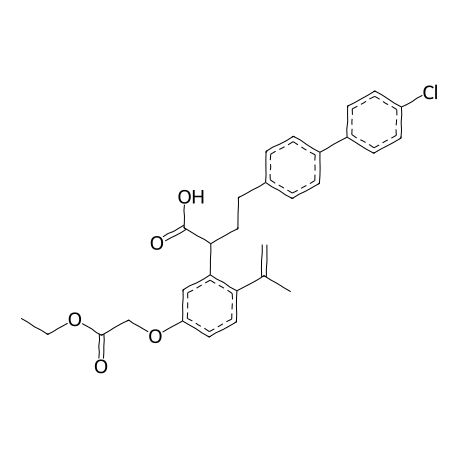 C=C(C)c1ccc(OCC(=O)OCC)cc1C(CCc1ccc(-c2ccc(Cl)cc2)cc1)C(=O)O